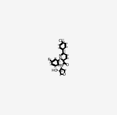 O=C(N[C@H]1COC[C@@H]1O)C1C=CC(c2ccc(Cl)cc2)=NN1c1cccc(F)c1